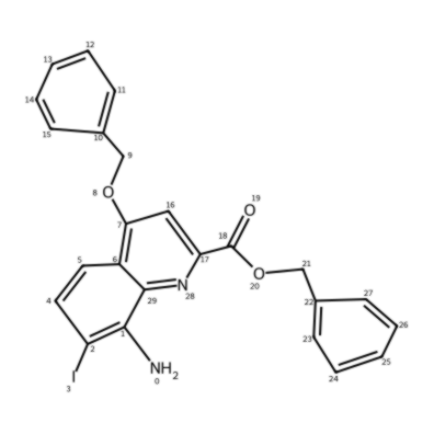 Nc1c(I)ccc2c(OCc3ccccc3)cc(C(=O)OCc3ccccc3)nc12